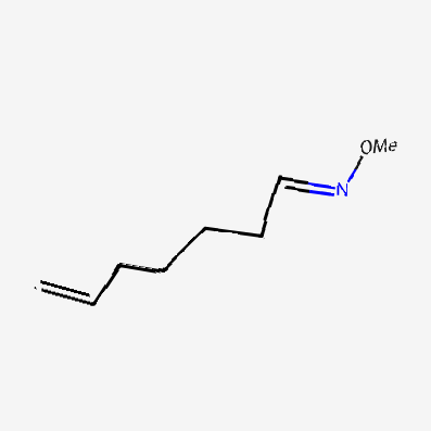 [CH]=CCCCC/C=N/OC